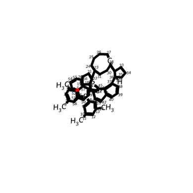 Cc1cc(C)cc(P(c2cc(C)cc(C)c2)C(C)C2CCCC23C2CCCCCC(CC2)C2CCC[C@@H]2c2cccc4cccc(c24)P3c2cccc3ccccc23)c1